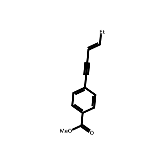 CC/C=C/C#Cc1ccc(C(=O)OC)cc1